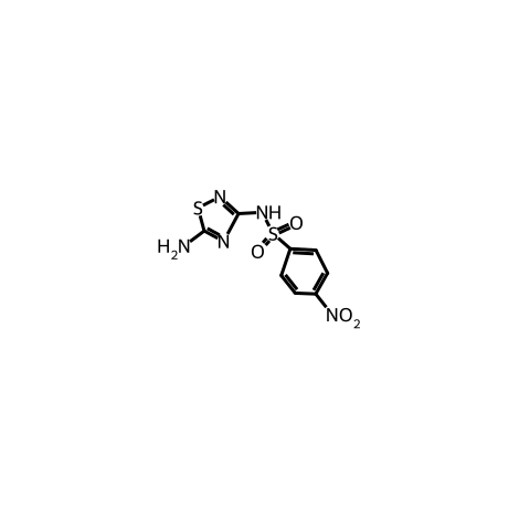 Nc1nc(NS(=O)(=O)c2ccc([N+](=O)[O-])cc2)ns1